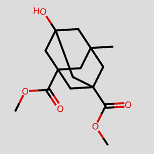 COC(=O)C12CC3(C)CC(O)(C1)CC(C(=O)OC)(C3)C2